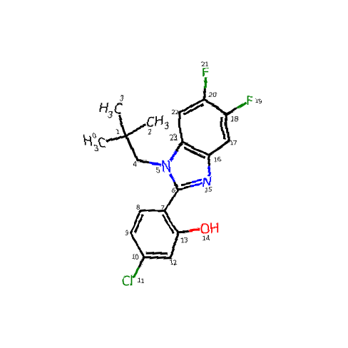 CC(C)(C)Cn1c(-c2ccc(Cl)cc2O)nc2cc(F)c(F)cc21